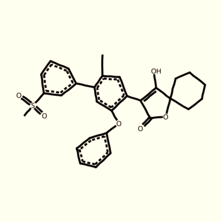 Cc1cc(C2=C(O)C3(CCCCC3)OC2=O)c(Oc2ccccc2)cc1-c1cccc(S(C)(=O)=O)c1